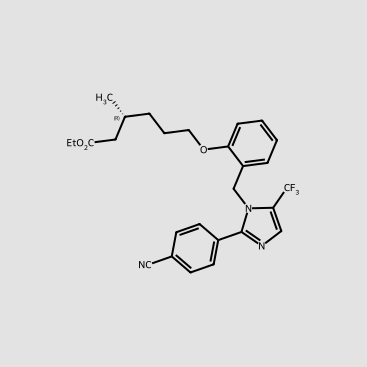 CCOC(=O)C[C@H](C)CCCOc1ccccc1Cn1c(C(F)(F)F)cnc1-c1ccc(C#N)cc1